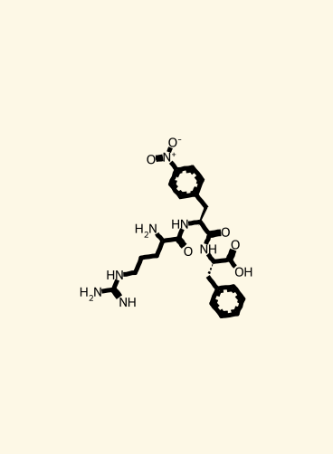 N=C(N)NCCCC(N)C(=O)N[C@@H](Cc1ccc([N+](=O)[O-])cc1)C(=O)N[C@@H](Cc1ccccc1)C(=O)O